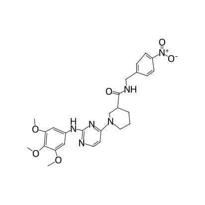 COc1cc(Nc2nccc(N3CCCC(C(=O)NCc4ccc([N+](=O)[O-])cc4)C3)n2)cc(OC)c1OC